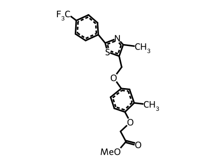 COC(=O)COc1ccc(OCc2sc(-c3ccc(C(F)(F)F)cc3)nc2C)cc1C